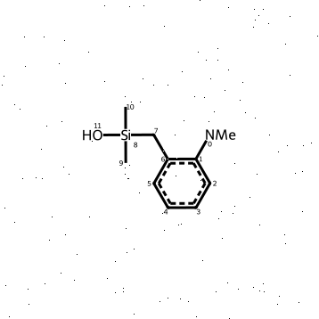 CNc1ccccc1C[Si](C)(C)O